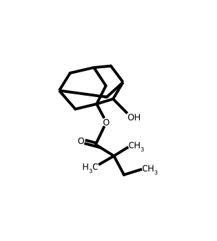 CCC(C)(C)C(=O)OC12CC3CC(CC(C3)C1O)C2